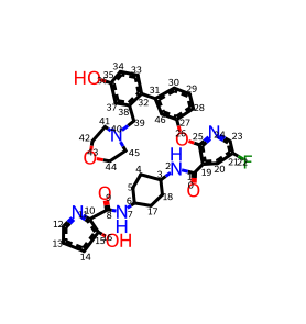 O=C(NC1CCC(NC(=O)c2ncccc2O)CC1)c1cc(F)cnc1Oc1cccc(-c2ccc(O)cc2CN2CCOCC2)c1